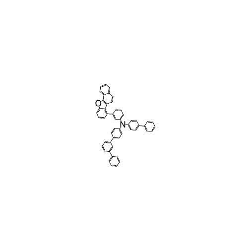 c1ccc(-c2ccc(N(c3ccc(-c4cccc(-c5ccccc5)c4)cc3)c3cccc(-c4cccc5oc6c7ccccc7ccc6c45)c3)cc2)cc1